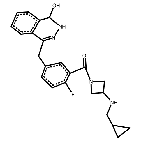 O=C(c1cc(CC2=NNC(O)c3ccccc32)ccc1F)N1CC(NCC2CC2)C1